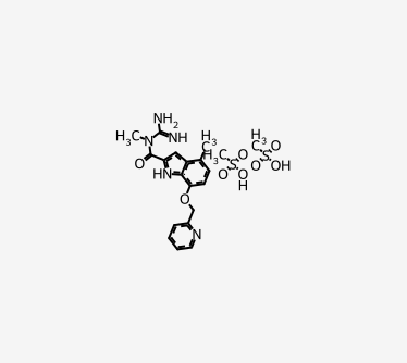 CS(=O)(=O)O.CS(=O)(=O)O.Cc1ccc(OCc2ccccn2)c2[nH]c(C(=O)N(C)C(=N)N)cc12